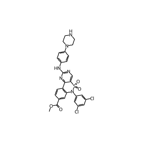 COC(=O)c1ccc2c(c1)N(c1cc(Cl)cc(Cl)c1)S(=O)(=O)c1cnc(Nc3ccc(N4CCNCC4)cc3)nc1-2